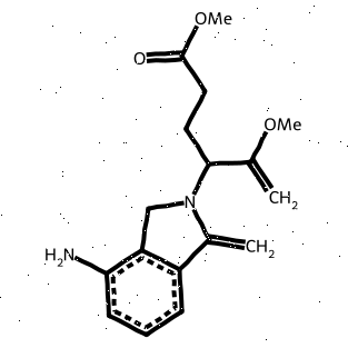 C=C(OC)C(CCC(=O)OC)N1Cc2c(N)cccc2C1=C